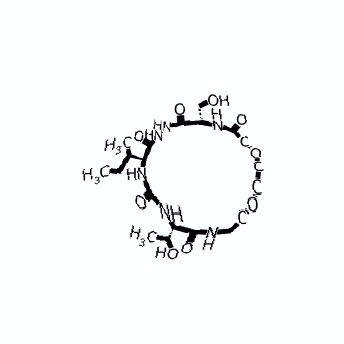 CCC(C)[C@@H]1NC(=O)N[C@@H](C(C)O)C(=O)NCCOCCOCC(=O)N[C@@H](CO)C(=O)NNC1=O